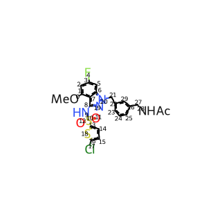 COc1cc(F)cc2c1c(NS(=O)(=O)c1ccc(Cl)s1)nn2Cc1cccc(CNC(C)=O)c1